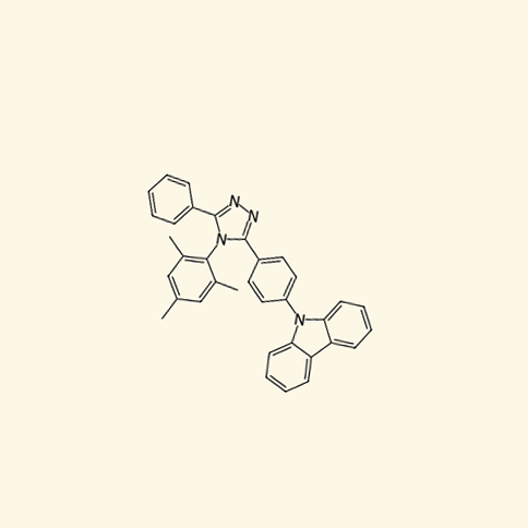 Cc1cc(C)c(-n2c(-c3ccccc3)nnc2-c2ccc(-n3c4ccccc4c4ccccc43)cc2)c(C)c1